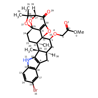 COC(=O)CO[C@H]1C[C@H]2Cc3c([nH]c4ccc(Br)cc34)[C@]2(C)[C@@]2(C)CC[C@@]34O[C@@H](C(=O)C5=C3[C@]12O5)C(C)(C)O4